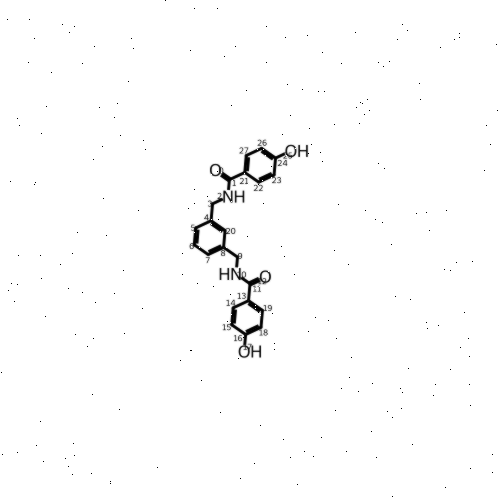 O=C(NCc1cccc(CNC(=O)c2ccc(O)cc2)c1)c1ccc(O)cc1